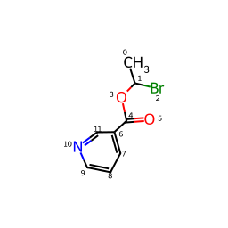 CC(Br)OC(=O)c1cccnc1